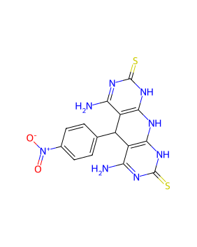 Nc1nc(=S)[nH]c2c1C(c1ccc([N+](=O)[O-])cc1)c1c(N)nc(=S)[nH]c1N2